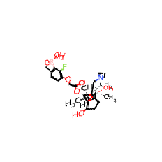 C[C@@H]1CC[C@@]23CCC(O)[C@H]2[C@]1(C)[C@H](OC(=O)COc1ccc2c(c1F)B(O)OC2)C[C@@](C)(CN1CCC1)[C@@H](O)[C@@H]3C